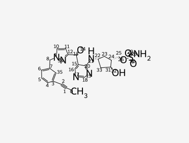 CC#Cc1cccc(Cn2ccc(C(=O)c3cncnc3N[C@@H]3C[C@H](COS(N)(=O)=O)[C@@H](O)C3)n2)c1